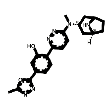 Cc1nnc(-c2ccc(-c3ccc(N(C)[C@@H]4CC5CC[C@@H](C4)N5)nn3)c(O)c2)o1